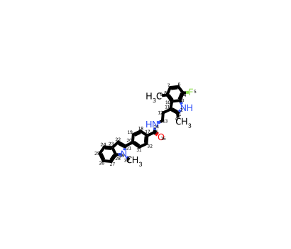 Cc1[nH]c2c(F)ccc(C)c2c1CCNC(=O)c1ccc(-c2cc3ccccc3n2C)cc1